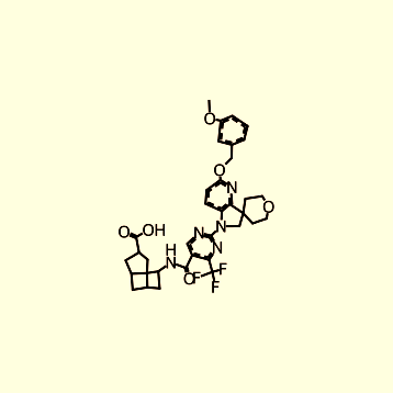 COc1cccc(COc2ccc3c(n2)C2(CCOCC2)CN3c2ncc(C(=O)NC3CC4CC5CC(C(=O)O)CC543)c(C(F)(F)F)n2)c1